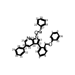 c1ccc(OCc2ccccc2-c2cn(OSc3ccccc3)c3ncc(-c4ccccc4)cc23)cc1